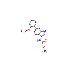 COCC(=O)Nc1n[nH]c2cc(-c3ccccc3OC)ccc12